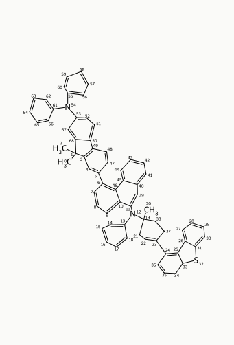 CC1(C)c2cc(-c3cccc4c(N(c5ccccc5)C5(C)CC=C(C6=C7c8ccccc8SC7CC=C6)CC5)cc5ccccc5c34)ccc2-c2ccc(N(c3ccccc3)c3ccccc3)cc21